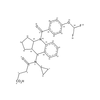 O=C(O)CCC(=O)N(C1CC1)C1c2ccccc2N(C(=O)c2ccc(OC(F)F)cc2)C2CCCC21